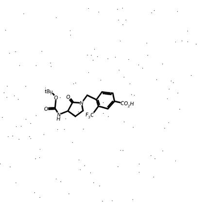 CC(C)(C)OC(=O)NC1CCN(Cc2ccc(C(=O)O)cc2C(F)(F)F)C1=O